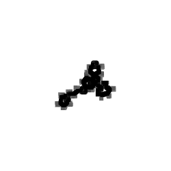 c1cnc(NCC2(c3ccc(OCCCN4CCCC4)cc3)CCOCC2)nc1